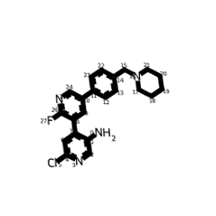 Nc1cnc(Cl)cc1-c1cc(-c2ccc(CN3CCCCC3)cc2)cnc1F